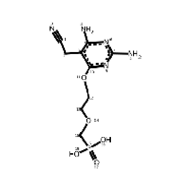 N#CCc1c(N)nc(N)nc1OCCOCP(=O)(O)O